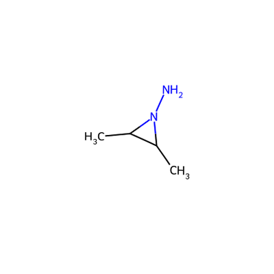 CC1C(C)N1N